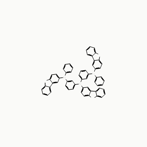 c1ccc(N(c2cccc(N(c3cccc(N(c4ccccc4)c4ccc5oc6ccccc6c5c4)c3)c3ccc4oc5ccccc5c4c3)c2)c2ccc3oc4ccccc4c3c2)cc1